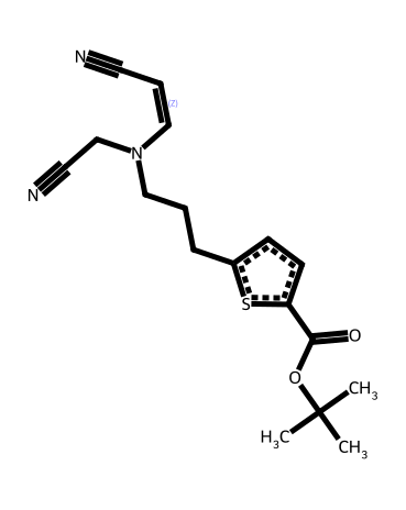 CC(C)(C)OC(=O)c1ccc(CCCN(/C=C\C#N)CC#N)s1